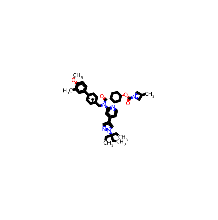 CCC(CC)(CC)n1cc(-c2ccnc(N(CC34CCC(c5ccc(OC)c(C)c5)(CC3)CC4)C(=O)[C@H]3CC[C@H](OC(=O)N4CC(C)C4)CC3)c2)cn1